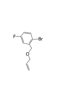 C=CCOCc1cc(F)ccc1Br